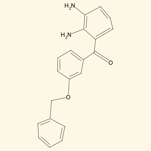 Nc1cccc(C(=O)c2cccc(OCc3ccccc3)c2)c1N